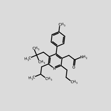 CCCc1nc(CC(C)C)c(CC(C)(C)C)c(-c2ccc(C)cc2)c1CC(N)=O